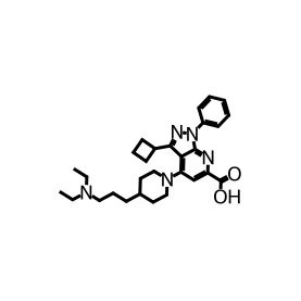 CCN(CC)CCCC1CCN(c2cc(C(=O)O)nc3c2c(C2CCC2)nn3-c2ccccc2)CC1